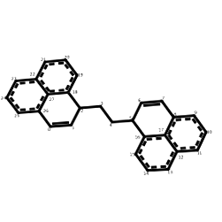 C1=CC(CCC2C=Cc3cccc4cccc2c34)c2cccc3cccc1c23